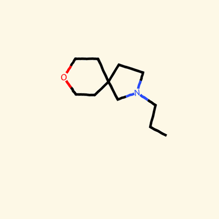 CCCN1CCC2(CCOCC2)C1